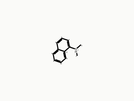 C[SH](C)c1cccc2ccccc12